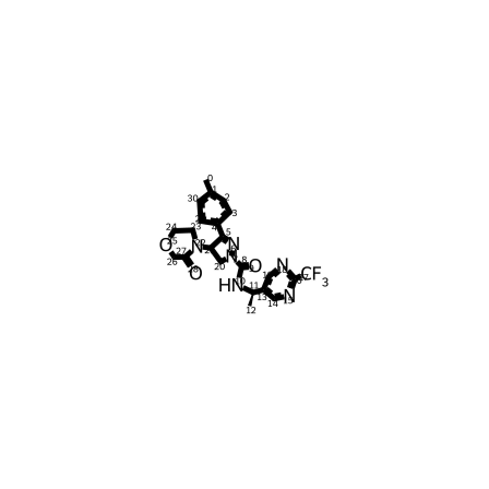 Cc1ccc(C2=NN(C(=O)N[C@H](C)c3cnc(C(F)(F)F)nc3)CC2N2CCOCC2=O)cc1